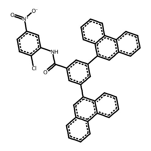 O=C(Nc1cc([N+](=O)[O-])ccc1Cl)c1cc(-c2cc3ccccc3c3ccccc23)cc(-c2cc3ccccc3c3ccccc23)c1